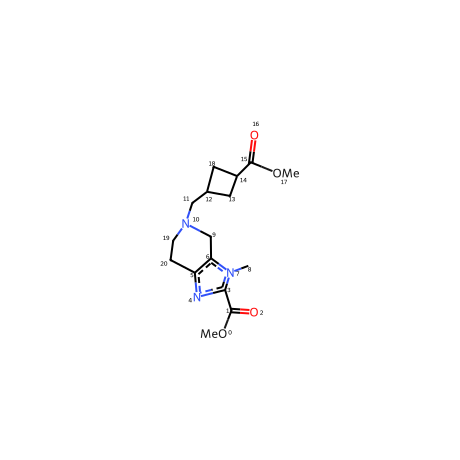 COC(=O)c1nc2c(n1C)CN(CC1CC(C(=O)OC)C1)CC2